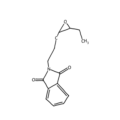 CCC1OC1CCCN1C(=O)c2ccccc2C1=O